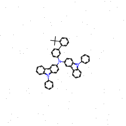 CC(C)(C)c1ccccc1-c1cccc(N(c2ccc3c(c2)c2ccccc2n3-c2ccccc2)c2ccc3c(c2)c2ccccc2n3-c2ccccc2)c1